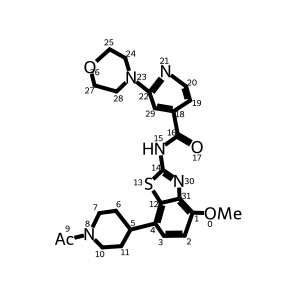 COc1ccc(C2CCN(C(C)=O)CC2)c2sc(NC(=O)c3ccnc(N4CCOCC4)c3)nc12